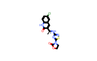 C[C@H](Nc1nsc(N2CCOC2=O)n1)c1cc2cc(Cl)ccc2[nH]c1=O